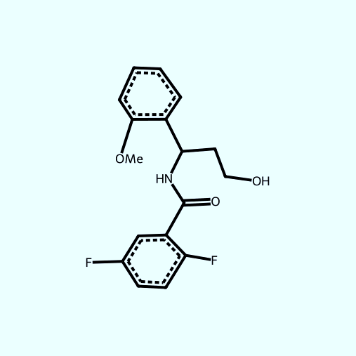 COc1ccccc1C(CCO)NC(=O)c1cc(F)ccc1F